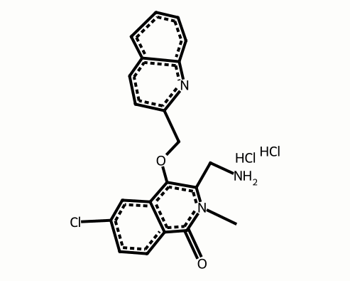 Cl.Cl.Cn1c(CN)c(OCc2ccc3ccccc3n2)c2cc(Cl)ccc2c1=O